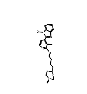 CCn1c(-c2ccnc(OCCCCC3CCN(C)CC3)c2C)nc2ccccc21